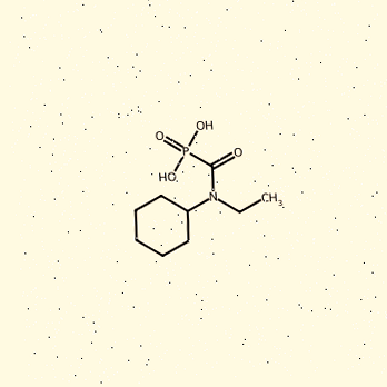 CCN(C(=O)P(=O)(O)O)C1CCCCC1